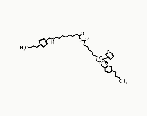 CCCCc1ccc(CNCCCCCCCC(=O)OC(=O)CCCCCCCN(Cc2ccc(CCCC)cc2)S(=O)(=O)c2cccnc2)cc1